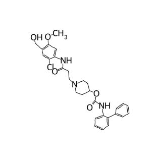 COc1cc(NC(=O)CCN2CCC(OC(=O)Nc3ccccc3-c3ccccc3)CC2)c(Cl)cc1CO